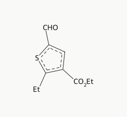 CCOC(=O)c1cc(C=O)sc1CC